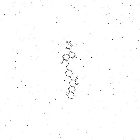 COC(=O)c1cccc2c1ccc(=O)n2CCN1CCC(N(Cc2ccc3c(c2)OCCO3)C(=O)O)CC1